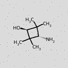 CC1(C)[C@H](N)C(C)(C)[C@H]1O